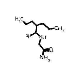 [2H]C(NCC(N)=O)C(CCC)CCC